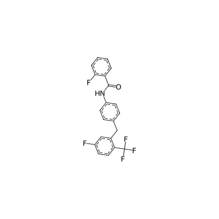 O=C(Nc1ccc(Cc2cc(F)ccc2C(F)(F)F)cc1)c1ccccc1F